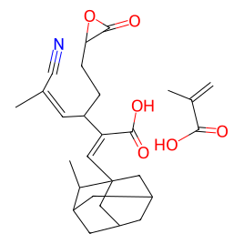 C=C(C)C(=O)O.CC(C#N)=CC(CCC1OC1=O)C(=CC12CC3CC(CC(C3)C1C)C2)C(=O)O